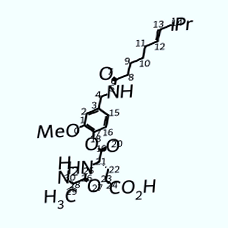 COc1cc(CNC(=O)CCCC/C=C/C(C)C)ccc1OC(=O)[C@H](CCC(=O)O)NC(=O)[C@H](C)N